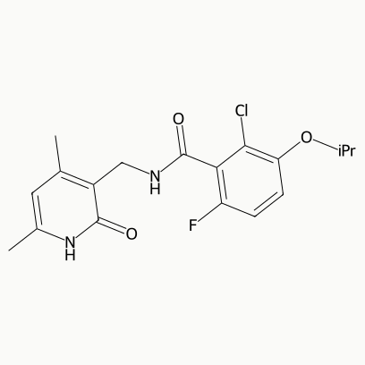 Cc1cc(C)c(CNC(=O)c2c(F)ccc(OC(C)C)c2Cl)c(=O)[nH]1